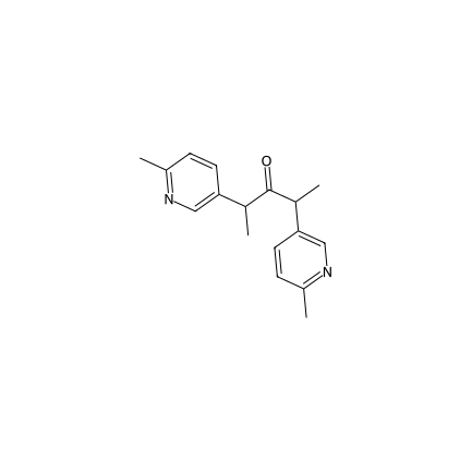 Cc1ccc(C(C)C(=O)C(C)c2ccc(C)nc2)cn1